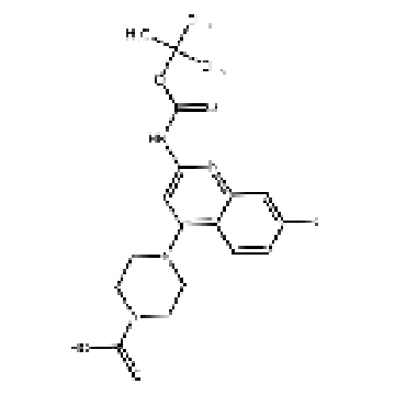 CC(C)(C)OC(=O)Nc1cc(N2CCN(C(=O)O)CC2)c2ccc(Cl)cc2n1